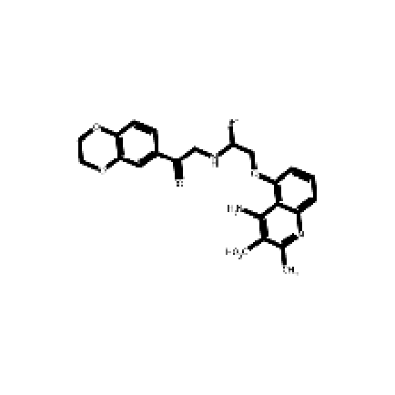 Cc1nc2cccc(OCC(NCC(=O)c3ccc4c(c3)OCCO4)C(C)C)c2c(N)c1C(=O)O